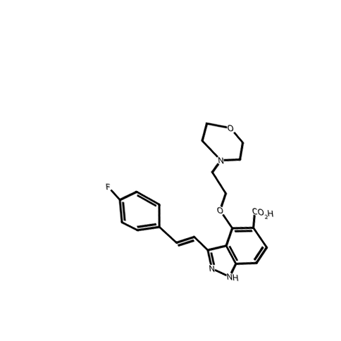 O=C(O)c1ccc2[nH]nc(/C=C/c3ccc(F)cc3)c2c1OCCN1CCOCC1